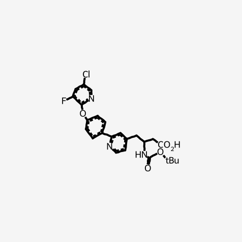 CC(C)(C)OC(=O)NC(CC(=O)O)Cc1ccnc(-c2ccc(Oc3ncc(Cl)cc3F)cc2)c1